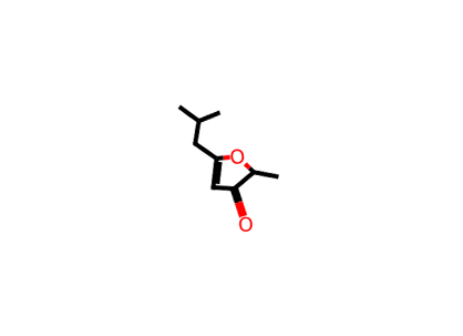 CC(C)CC1=CC(=O)C(C)O1